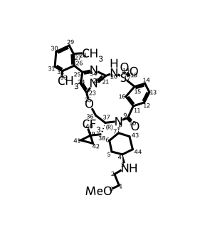 COCCN[C@H]1CC[C@H](N2C(=O)c3cccc(c3)S(=O)(=O)Nc3nc(cc(-c4c(C)cccc4C)n3)OC[C@H]2CC2(C(F)(F)F)CC2)CC1